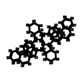 c1ccc(N2C(=C3N(c4ccc5c(ccc6ccccc65)c4)C4CCCCC4N3c3ccc4c(ccc5ccccc54)c3)N(c3ccccc3)C3CCCCC32)cc1